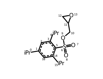 CC(C)c1cc(C(C)C)c(S(=O)(=O)OCC2CO2)c(C(C)C)c1